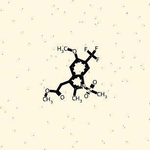 COC(=O)Cc1c(C)n(S(C)(=O)=O)c2cc(C(F)(F)F)c(OC)cc12